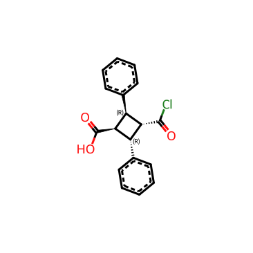 O=C(O)[C@H]1[C@@H](c2ccccc2)[C@H](C(=O)Cl)[C@@H]1c1ccccc1